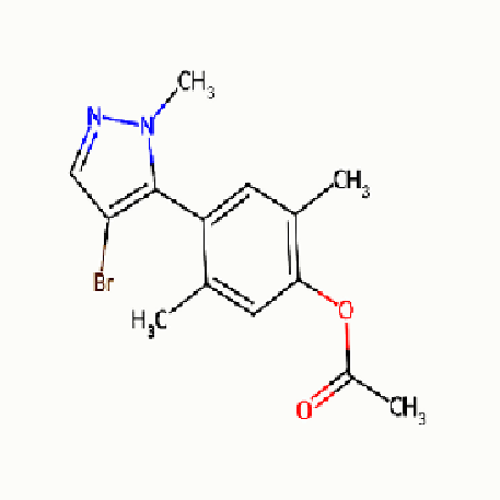 CC(=O)Oc1cc(C)c(-c2c(Br)cnn2C)cc1C